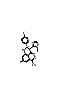 COC(=O)c1cc(F)cc2c1C(=O)C(c1ncnn1C)[C@@H](c1ccc(F)cc1)N2